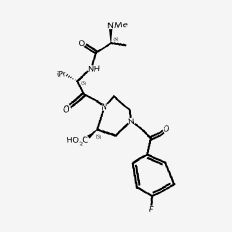 CN[C@@H](C)C(=O)N[C@H](C(=O)N1CCN(C(=O)c2ccc(F)cc2)C[C@H]1C(=O)O)C(C)C